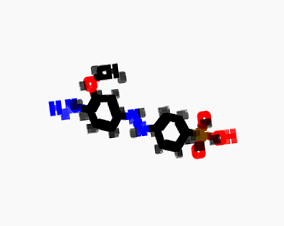 COc1cc(N=Nc2ccc(S(=O)(=O)O)cc2)ccc1N